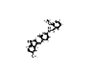 Cc1cnc2[nH]cc(Cc3ccc(NCc4cccnc4OC(F)(F)F)nc3F)c2c1